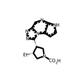 CC[C@H]1CN(C(=O)O)C[C@H]1c1nnc2cnc3[nH]ccc3n12